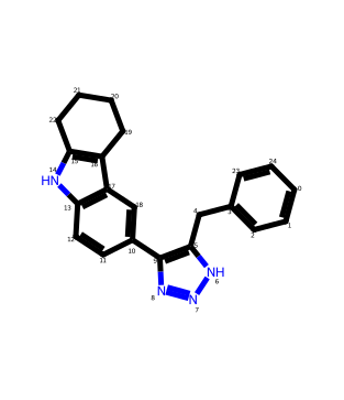 c1ccc(Cc2[nH]nnc2-c2ccc3[nH]c4c(c3c2)CCCC4)cc1